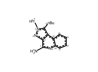 CCCCc1c2c(nn1CCC)c(N)nc1ccccc12